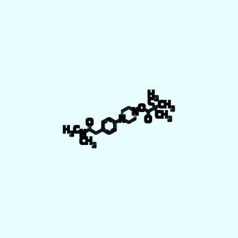 CN(C)C(=O)Cc1ccc(N2CCN(OC(=O)C(C)(C)C)CC2)cc1